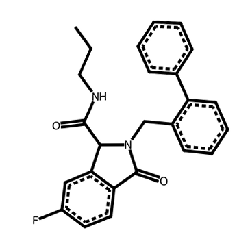 CCCNC(=O)C1c2cc(F)ccc2C(=O)N1Cc1ccccc1-c1ccccc1